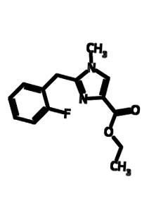 CCOC(=O)c1cn(C)c(Cc2ccccc2F)n1